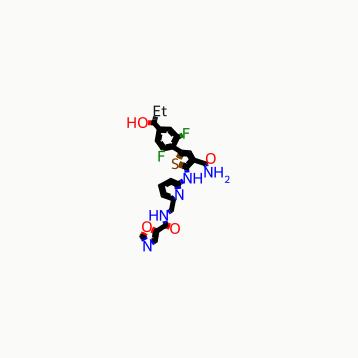 CCC(O)c1cc(F)c(-c2cc(C(N)=O)c(Nc3cccc(CNC(=O)c4cnco4)n3)s2)c(F)c1